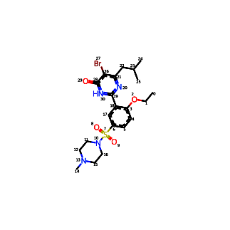 CCOc1ccc(S(=O)(=O)N2CCN(C)CC2)cc1-c1nc(CC(C)C)c(Br)c(=O)[nH]1